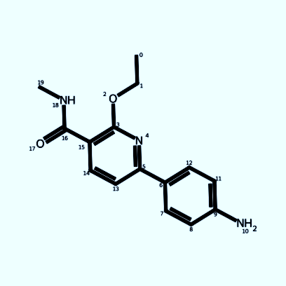 CCOc1nc(-c2ccc(N)cc2)ccc1C(=O)NC